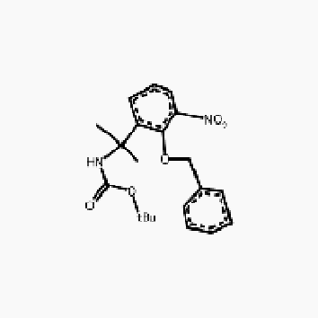 CC(C)(C)OC(=O)NC(C)(C)c1cccc([N+](=O)[O-])c1OCc1ccccc1